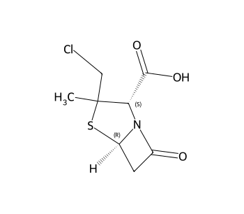 CC1(CCl)S[C@@H]2CC(=O)N2[C@H]1C(=O)O